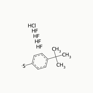 CC(C)(C)c1ccc([S])cc1.Cl.F.F.F.F